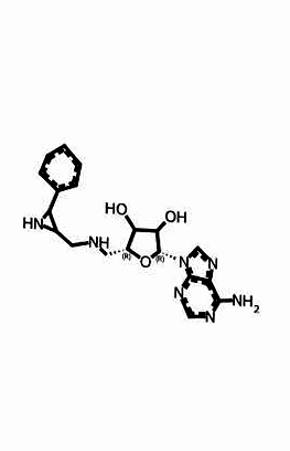 Nc1ncnc2c1ncn2[C@@H]1O[C@H](CNCC2NC2c2ccccc2)C(O)C1O